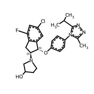 Cc1nnc(C(C)C)n1-c1ccc(O[C@H]2c3cc(Cl)cc(F)c3C[C@@H]2N2CCC(O)C2)cc1